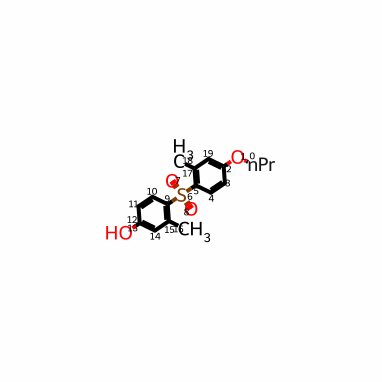 CCCOc1ccc(S(=O)(=O)c2ccc(O)cc2C)c(C)c1